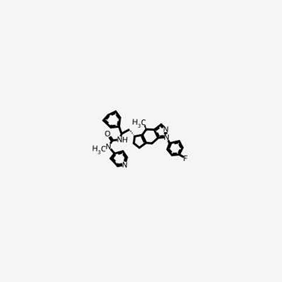 C[C@@H]1C2=C(CC[C@@H]2CC(NC(=O)N(C)c2ccncc2)c2ccccc2)Cc2c1cnn2-c1ccc(F)cc1